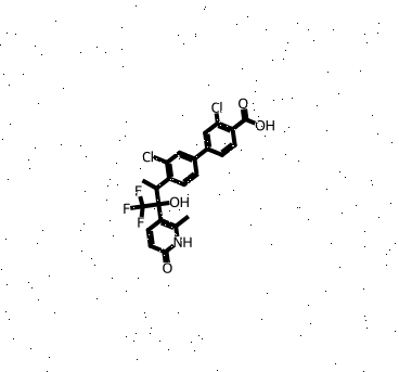 Cc1[nH]c(=O)ccc1C(O)(C(C)c1ccc(-c2ccc(C(=O)O)c(Cl)c2)cc1Cl)C(F)(F)F